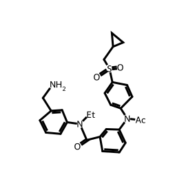 CCN(C(=O)c1cccc(N(C(C)=O)c2ccc(S(=O)(=O)CC3CC3)cc2)c1)c1cccc(CN)c1